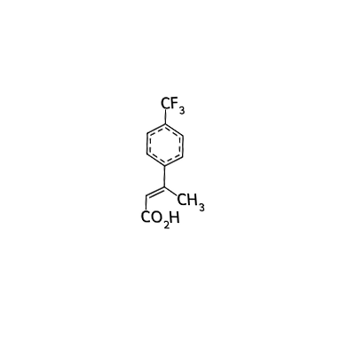 C/C(=C\C(=O)O)c1ccc(C(F)(F)F)cc1